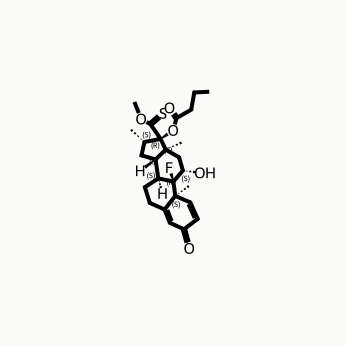 CCCC(=O)O[C@]1(C(=S)OC)[C@@H](C)C[C@H]2[C@@H]3CCC4=CC(=O)C=C[C@]4(C)[C@@]3(F)[C@@H](O)C[C@@]21C